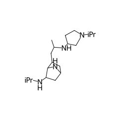 CC(C)NC1CC2CC(CC(C)NC3CCN(C(C)C)C3)C1N2